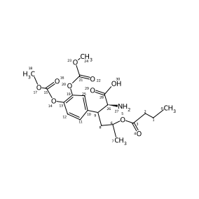 CCCC(=O)OC(C)CC(c1ccc(OC(=O)OC)c(OC(=O)OC)c1)[C@H](N)C(=O)O